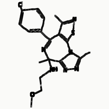 COCCNC1(C)N=C(c2ccc(Cl)cc2)c2c(C)nsc2-n2c(C)nnc21